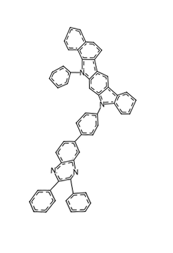 c1ccc(-c2nc3ccc(-c4ccc(-n5c6ccccc6c6cc7c8ccc9ccccc9c8n(-c8ccccc8)c7cc65)cc4)cc3nc2-c2ccccc2)cc1